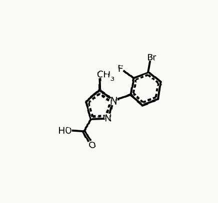 Cc1cc(C(=O)O)nn1-c1cccc(Br)c1F